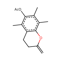 C=C1CCc2c(C)c(OC(C)=O)c(C)c(C)c2O1